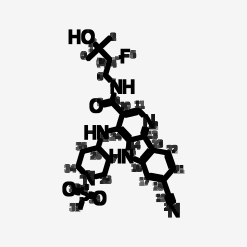 CC(C)(O)[C@H](F)CNC(=O)c1cnc2c([nH]c3cc(C#N)ccc32)c1NC1CCN(S(C)(=O)=O)CC1